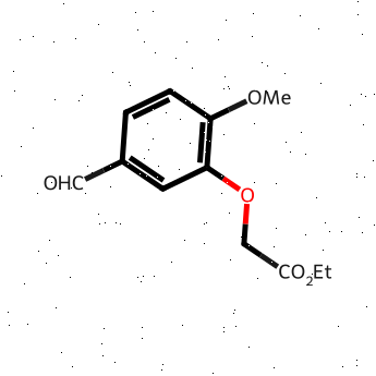 CCOC(=O)COc1cc(C=O)ccc1OC